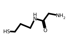 NCC(=O)NCCCS